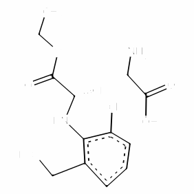 CCOC(=O)[C@H](C)Nc1c(Cl)cccc1CC.NCC(=O)O